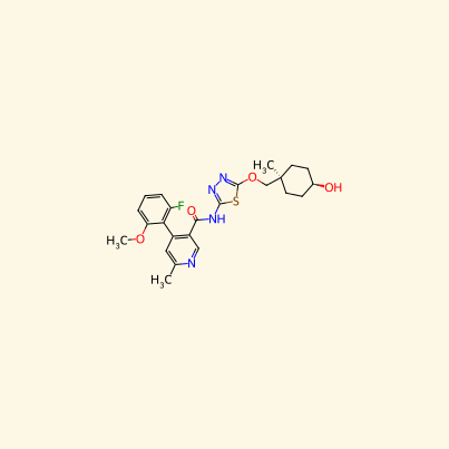 COc1cccc(F)c1-c1cc(C)ncc1C(=O)Nc1nnc(OC[C@]2(C)CC[C@H](O)CC2)s1